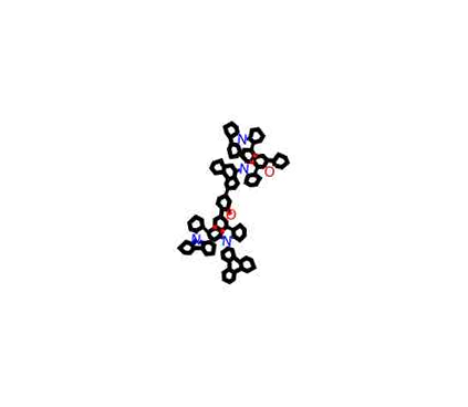 c1ccc(N(c2ccc(-c3ccccc3-n3c4ccccc4c4ccccc43)cc2)c2ccc3c4ccccc4c4ccccc4c3c2)c(-c2cccc3c2oc2cc(-c4ccc5c(N(c6ccc(-c7ccccc7-n7c8ccccc8c8ccccc87)cc6)c6ccccc6-c6cccc7c6oc6ccccc67)cc6ccccc6c5c4)ccc23)c1